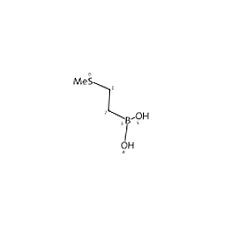 CSCCB(O)O